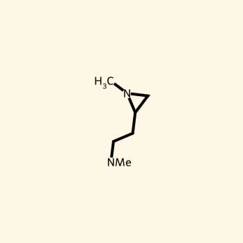 CNCCC1CN1C